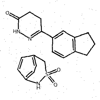 O=C1CCC(c2ccc3c(c2)CCC3)=NN1.O=S1(=O)Cc2ccc(cc2)N1